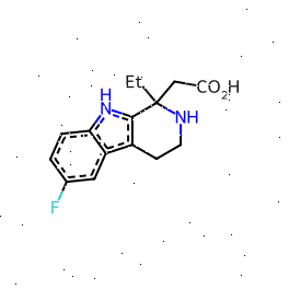 CCC1(CC(=O)O)NCCc2c1[nH]c1ccc(F)cc21